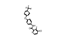 O=C(Nc1ccc(Oc2ccc(C(F)(F)F)cc2)cc1)c1nccc(Cl)c1I